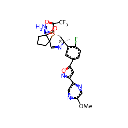 CN=[S@]1(=O)C[C@@](C)(c2cc(-c3cc(-c4cnc(OC)cn4)no3)ccc2F)N=CC12CCCC2(N)OC(=O)C(F)(F)F